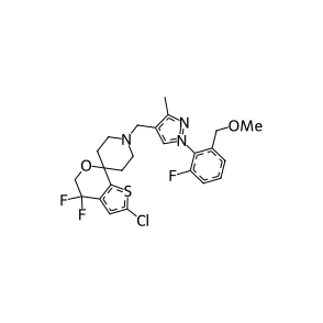 COCc1cccc(F)c1-n1cc(CN2CCC3(CC2)OCC(F)(F)c2cc(Cl)sc23)c(C)n1